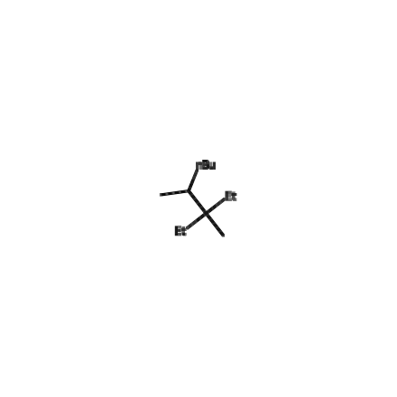 [CH2]CC(C)(CC)C(C)CCCC